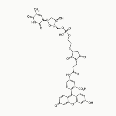 Cc1cn([C@H]2C[C@@H](O)[C@@H](COP(=O)(O)OCCSC3CC(=O)N(CCC(=O)Nc4ccc(-c5c6ccc(=O)cc-6oc6cc(O)ccc56)c(C(=O)O)c4)C3=O)O2)c(=O)[nH]c1=O